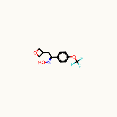 ON=C(CC1COC1)c1ccc(OC(F)(F)F)cc1